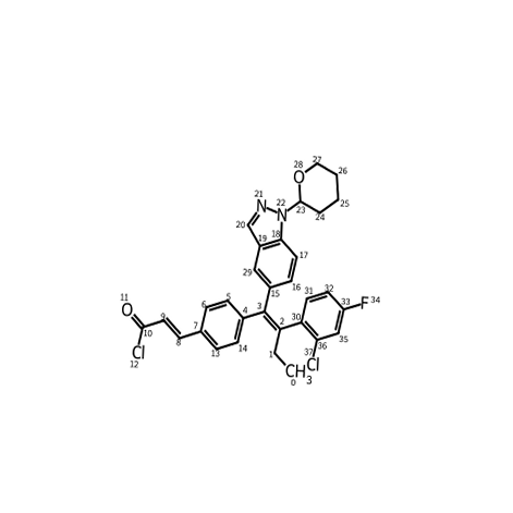 CCC(=C(c1ccc(C=CC(=O)Cl)cc1)c1ccc2c(cnn2C2CCCCO2)c1)c1ccc(F)cc1Cl